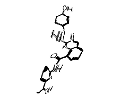 CC(O)c1cccc(NC(=O)c2cccc3cnc(NC4CCC(O)CC4)nc23)n1